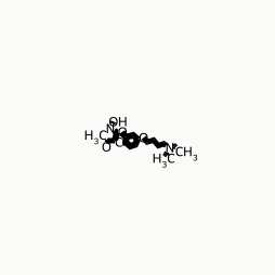 CCN(CC)CCCCOc1ccc2cc(C(C)=O)c(=NO)oc2c1